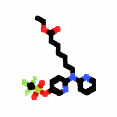 CCOC(=O)CCCCCCN(c1ccccn1)c1ccc(OS(=O)(=O)C(F)(F)F)cn1